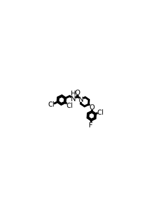 O=C(NCc1ccc(Cl)cc1Cl)N1CCC(Oc2ccc(F)cc2Cl)CC1